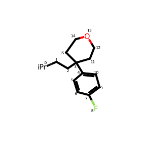 CC(C)CCC1(c2ccc(F)cc2)CCOCC1